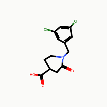 O=C(O)C1CCN(Cc2cc(Cl)cc(Cl)c2)C(=O)C1